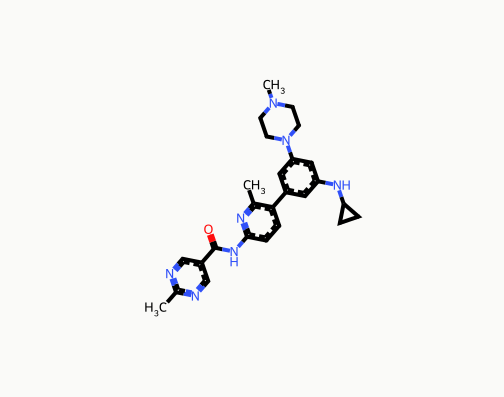 Cc1ncc(C(=O)Nc2ccc(-c3cc(NC4CC4)cc(N4CCN(C)CC4)c3)c(C)n2)cn1